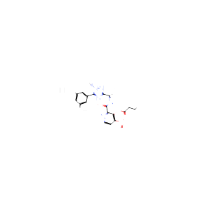 CCCC(=O)Oc1c(OC)ccnc1C(=O)N[C@@H](C)c1nc(-c2cc(C)cc(C)c2)n(C)n1